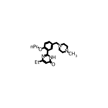 CCCOc1ccc(CN2CCN(C)CC2)cc1-c1nc(CC)cc(=O)[nH]1